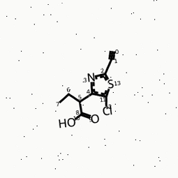 C#Cc1nc(C(CC)C(=O)O)c(Cl)s1